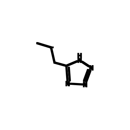 C[CH]Cc1nnn[nH]1